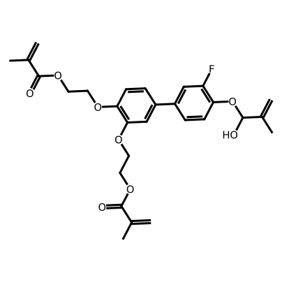 C=C(C)C(=O)OCCOc1ccc(-c2ccc(OC(O)C(=C)C)c(F)c2)cc1OCCOC(=O)C(=C)C